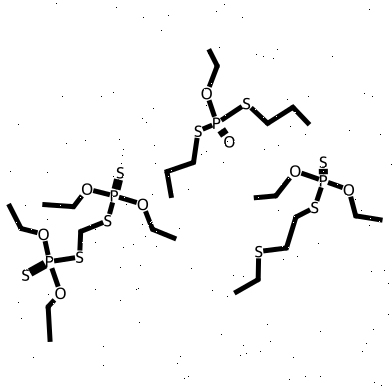 CCCSP(=O)(OCC)SCCC.CCOP(=S)(OCC)SCCSCC.CCOP(=S)(OCC)SCSP(=S)(OCC)OCC